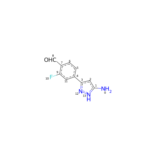 Nc1cc(-c2ccc(C=O)c(F)c2)n[nH]1